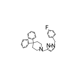 Fc1ccc(Cn2ccc(CN3CCC(c4ccccc4)(c4ccccc4)CC3)n2)cc1